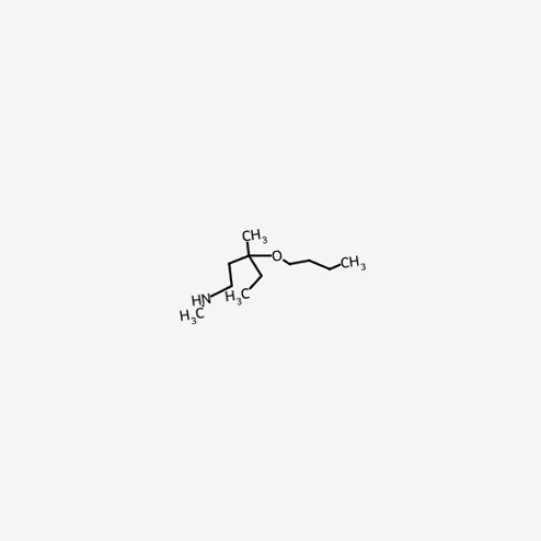 CCCCOC(C)(CC)CCNC